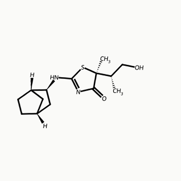 C[C@@H](CO)[C@]1(C)SC(N[C@H]2C[C@@H]3CC[C@H]2C3)=NC1=O